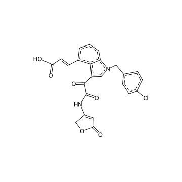 O=C(O)C=Cc1cccc2c1c(C(=O)C(=O)NC1=CC(=O)OC1)cn2Cc1ccc(Cl)cc1